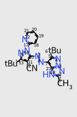 Cc1nn2nc(C(C)(C)C)c(/N=N/c3c(C#N)c(C(C)(C)C)nn3-c3ccccn3)c2[nH]1